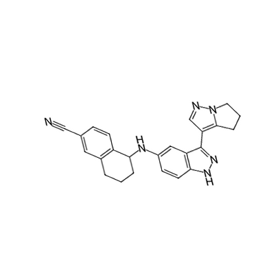 N#Cc1ccc2c(c1)CCCC2Nc1ccc2[nH]nc(-c3cnn4c3CCC4)c2c1